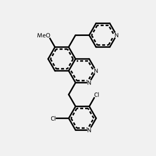 COc1ccc2c(Cc3c(Cl)cncc3Cl)nncc2c1Cc1ccncc1